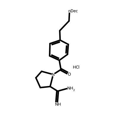 CCCCCCCCCCCCc1ccc(C(=O)N2CCCC2C(=N)N)cc1.Cl